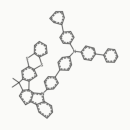 CC1(C)c2cc3c(cc2-c2c1ccc1c4ccccc4n(-c4ccc(-c5ccc(N(c6ccc(-c7ccccc7)cc6)c6ccc(-c7ccccc7)cc6)cc5)cc4)c21)Sc1ccccc1S3